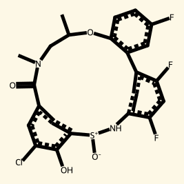 CC1CN(C)C(=O)c2cc(Cl)c(O)c(c2)[S+]([O-])Nc2cc(c(F)cc2F)-c2cc(F)ccc2O1